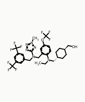 CCN(C[C@H]1CC[C@H](CO)CC1)c1ccc(OC(F)(F)F)cc1CN(Cc1cc(C(F)(F)F)cc(C(F)(F)F)c1)c1nnn(C)n1